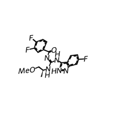 COC[C@H](C)N/C(=N/C(=O)c1ccc(F)c(F)c1)Nc1[nH]nc2cc(F)ccc12